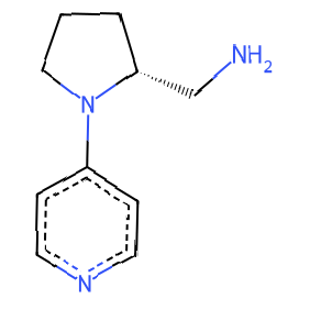 NC[C@H]1CCCN1c1ccncc1